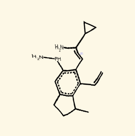 C=Cc1c(/C=C(\N)C2CC2)c(PN)cc2c1C(C)CC2